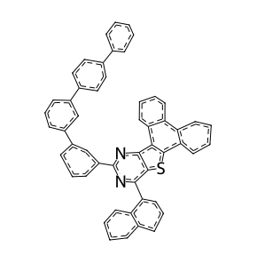 c1ccc(-c2ccc(-c3cccc(-c4cccc(-c5nc(-c6cccc7ccccc67)c6sc7c8ccccc8c8ccccc8c7c6n5)c4)c3)cc2)cc1